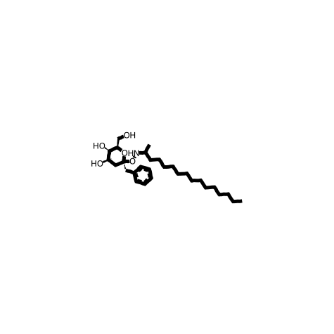 CCCCCCCCCCCCCCC(C)NO[C@@]1(Cc2ccccc2)C[C@@H](O)[C@H](O)[C@@H](CO)O1